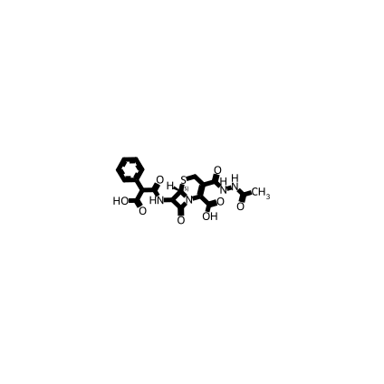 CC(=O)NNC(=O)C1=C(C(=O)O)N2C(=O)C(NC(=O)C(C(=O)O)c3ccccc3)[C@@H]2SC1